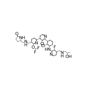 CC(O)CNCc1ccnc(Nc2cccc(-c3nccc(-c4ccc(CNCC5CCC(=O)N5)c(OC(F)F)n4)c3Cl)c2Cl)c1F